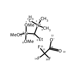 CCC([N+](C)(C)C)[Si](OC)(OC)OC.O=C([O-])C(F)(F)F